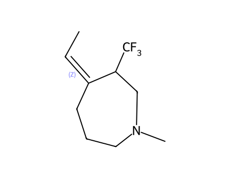 C/C=C1/CCCN(C)CC1C(F)(F)F